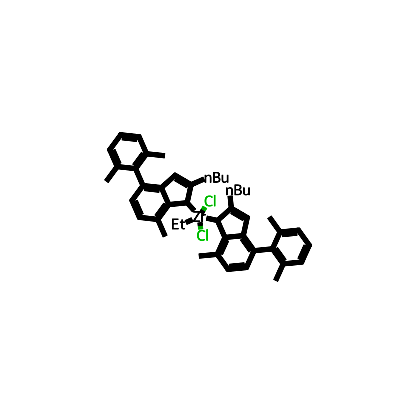 CCCCC1=Cc2c(-c3c(C)cccc3C)ccc(C)c2[CH]1[Zr]([Cl])([Cl])([CH2]C)[CH]1C(CCCC)=Cc2c(-c3c(C)cccc3C)ccc(C)c21